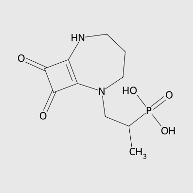 CC(CN1CCCNc2c1c(=O)c2=O)P(=O)(O)O